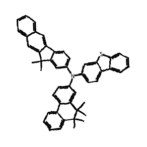 CC1(C)c2cc(N(c3ccc4c(c3)C(C)(C)C(C)(C)c3ccccc3-4)c3ccc4c(c3)sc3ccccc34)ccc2-c2cc3ccccc3cc21